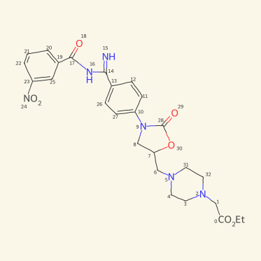 CCOC(=O)CN1CCN(CC2CN(c3ccc(C(=N)NC(=O)c4cccc([N+](=O)[O-])c4)cc3)C(=O)O2)CC1